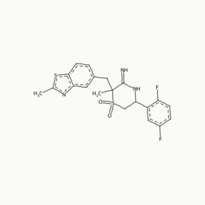 Cc1nc2cc(CC3(C)C(=N)NC(c4cc(F)ccc4F)CS3(=O)=O)ccc2s1